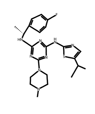 CC(C)c1cnc(Nc2nc(N[C@H](C)c3ccc(F)cc3)nc(N3CCN(C)CC3)n2)s1